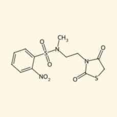 CN(CCN1C(=O)CSC1=O)S(=O)(=O)c1ccccc1[N+](=O)[O-]